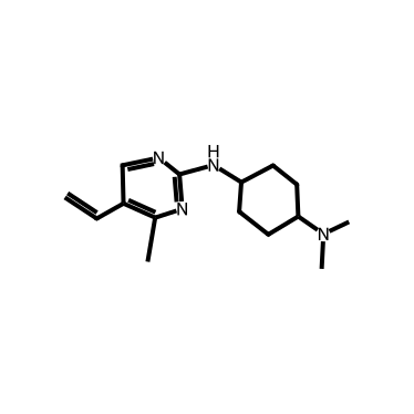 C=Cc1cnc(NC2CCC(N(C)C)CC2)nc1C